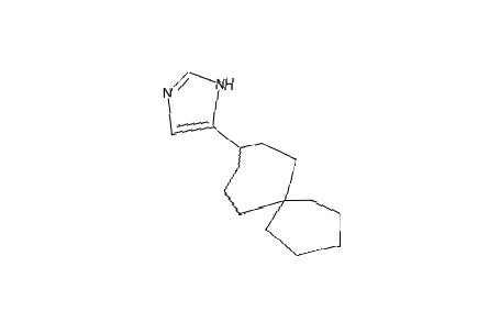 c1ncc(C2CCC3(CCCCC3)CC2)[nH]1